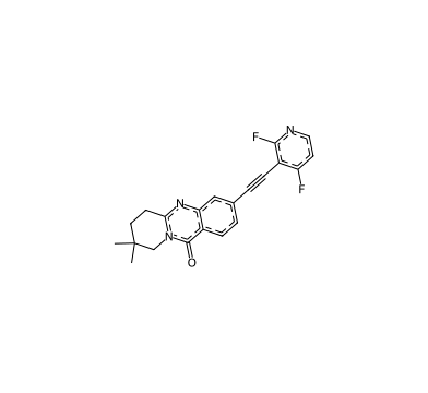 CC1(C)CCc2nc3cc(C#Cc4c(F)ccnc4F)ccc3c(=O)n2C1